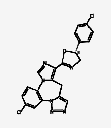 Clc1ccc([C@@H]2CN=C(c3ncn4c3Cc3cnnn3-c3cc(Cl)ccc3-4)O2)cc1